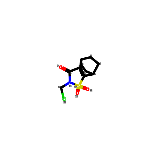 O=C1C2=C(C3CCC2CC3)S(=O)(=O)N1CCl